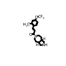 Cc1cc(OC(F)(F)F)ccc1/C=C/C(=O)N1CC[C@@H]2CNC[C@@H]2CC1